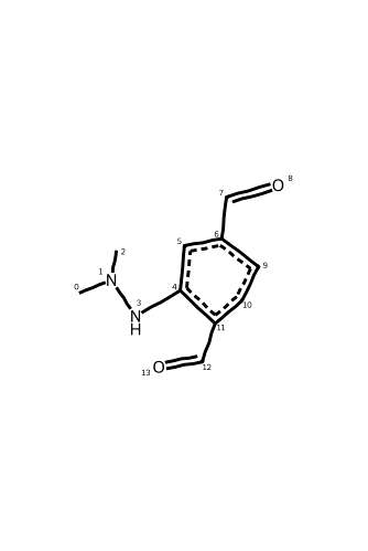 CN(C)Nc1cc(C=O)ccc1C=O